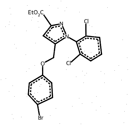 CCOC(=O)c1cc(COc2ccc(Br)cc2)n(-c2c(Cl)cccc2Cl)n1